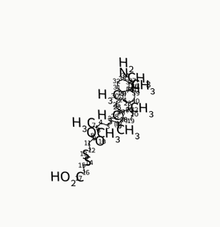 C[C@H](CCCC(C)(C)OC(=O)CCSSCCC(=O)O)[C@H]1CC[C@@]2(C)C3=C(CC[C@]12C)[C@@]1(C)CCC(N)C(C)(C)[C@@H]1CC3